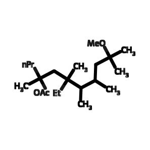 CCCC(C)(CC(C)(CC)C(C)C(C)CC(C)(C)OC)OC(C)=O